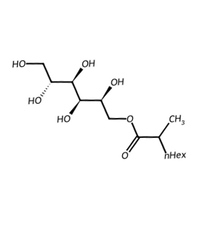 CCCCCCC(C)C(=O)OC[C@H](O)[C@@H](O)[C@H](O)[C@H](O)CO